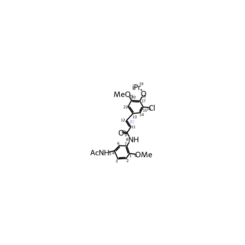 COc1ccc(NC(C)=O)cc1NC(=O)/C=C/c1cc(Cl)c(OC(C)C)c(OC)c1